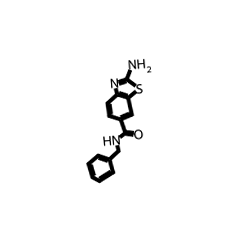 Nc1nc2ccc(C(=O)NCc3ccccc3)cc2s1